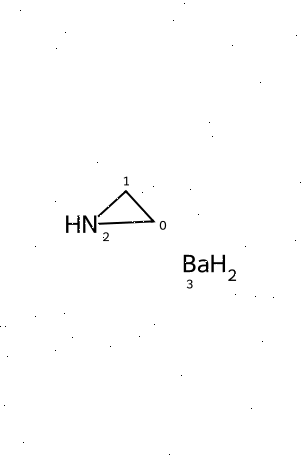 C1CN1.[BaH2]